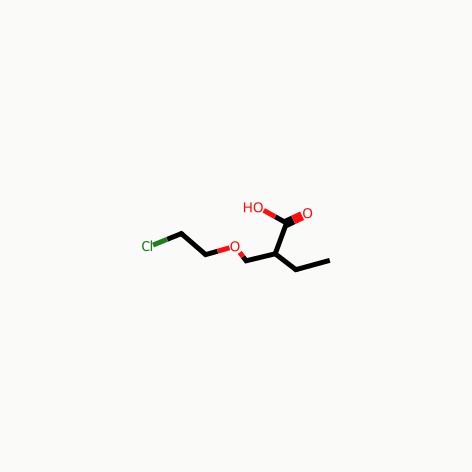 CCC(COCCCl)C(=O)O